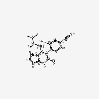 CC(C)[C@H](C)Nc1c(-c2ccc(C#N)cc2F)c(Cl)nc2ncnn12